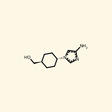 Nc1cn([C@H]2CC[C@H](CO)CC2)cn1